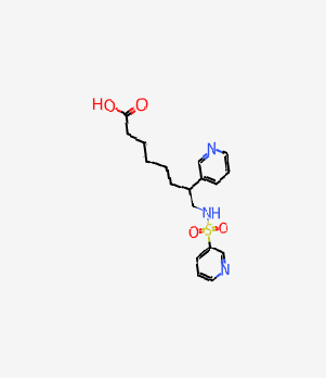 O=C(O)CCCCCC(CNS(=O)(=O)c1cccnc1)c1cccnc1